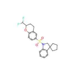 O=S(=O)(c1ccc2c(c1)CCC(C(F)F)O2)N1CC2(CCCC2)c2ccccc21